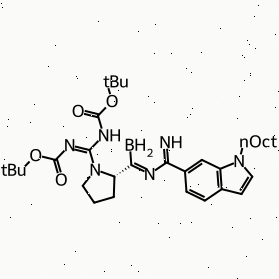 B/C(=N\C(=N)c1ccc2ccn(CCCCCCCC)c2c1)[C@@H]1CCCN1/C(=N\C(=O)OC(C)(C)C)NC(=O)OC(C)(C)C